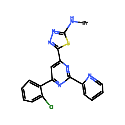 CC(C)Nc1nnc(-c2cc(-c3ccccc3Cl)nc(-c3ccccn3)n2)s1